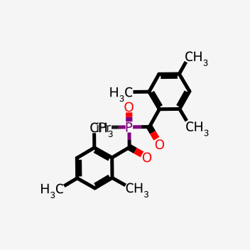 Cc1cc(C)c(C(=O)P(=O)(C(=O)c2c(C)cc(C)cc2C)C(C)C)c(C)c1